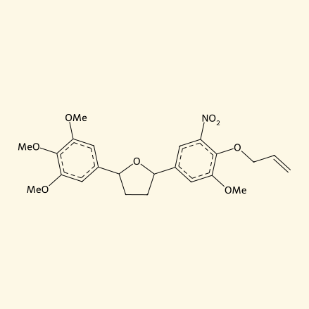 C=CCOc1c(OC)cc(C2CCC(c3cc(OC)c(OC)c(OC)c3)O2)cc1[N+](=O)[O-]